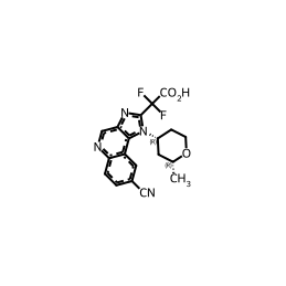 C[C@@H]1C[C@H](n2c(C(F)(F)C(=O)O)nc3cnc4ccc(C#N)cc4c32)CCO1